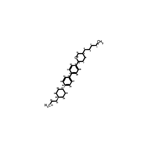 CCCCCC1CCC(c2ccc(-c3ccc([C@H]4CC[C@H](CCC)CC4)cc3)cc2)OC1